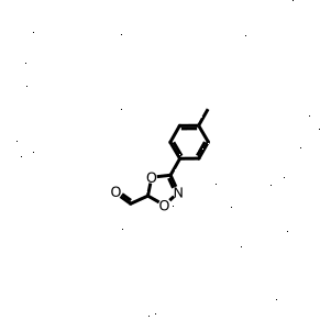 Cc1ccc(C2=NOC(C=O)O2)cc1